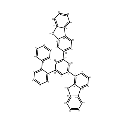 c1ccc(-c2ccccc2-c2cc(-c3cccc4c3sc3ccccc34)nc(-c3ccc4c(c3)oc3ccccc34)n2)cc1